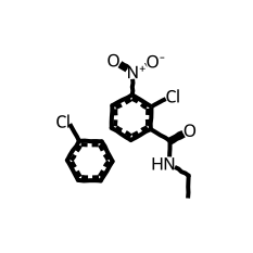 CCNC(=O)c1cccc([N+](=O)[O-])c1Cl.Clc1ccccc1